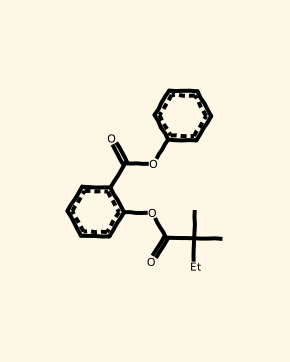 CCC(C)(C)C(=O)Oc1ccccc1C(=O)Oc1ccccc1